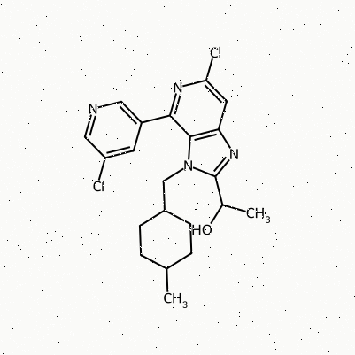 CC1CCC(Cn2c(C(C)O)nc3cc(Cl)nc(-c4cncc(Cl)c4)c32)CC1